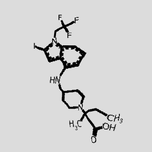 CCC(C)(C(=O)O)N1CCC(Nc2cccc3c2cc(I)n3CC(F)(F)F)CC1